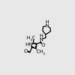 Cc1[nH]c(C=O)c(C)c1C(=O)NCC1CCNCC1